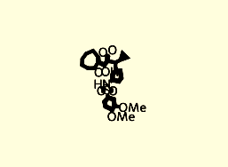 COc1ccc(S(=O)(=O)Nc2cccc(C(c3c(O)c4c(oc3=O)CCCCCC4=O)C3CC3)c2)cc1OC